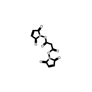 O=C(CC(=O)ON1C(=O)C=CC1=O)ON1C(=O)C=CC1=O